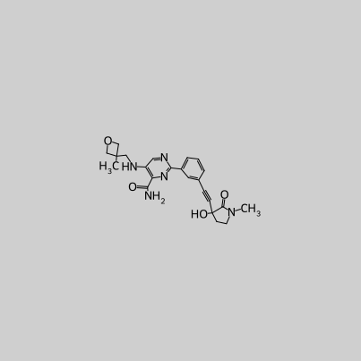 CN1CCC(O)(C#Cc2cccc(-c3ncc(NCC4(C)COC4)c(C(N)=O)n3)c2)C1=O